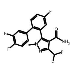 Cn1nc(C(F)F)c(C(N)=O)c1-c1cc(F)ccc1-c1ccc(F)c(F)c1